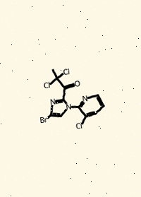 CC(Cl)(Cl)C(=O)c1nc(Br)cn1-c1ncccc1Cl